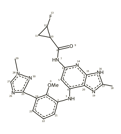 COc1c(Nc2cc(NC(=O)C3CC3F)nc3[nH]c(C)nc23)cccc1-c1ncn(C)n1